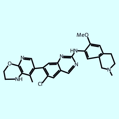 COc1cc2c(cc1Nc1ncc3cc(Cl)c(-c4cnc5c(c4C)NCCO5)cc3n1)CN(C)CC2